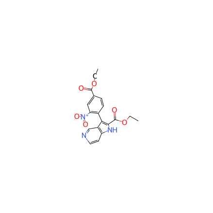 CCOC(=O)c1ccc(-c2c(C(=O)OCC)[nH]c3ccncc23)c([N+](=O)[O-])c1